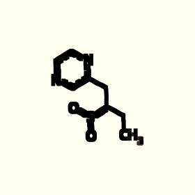 CCC(Cc1cnccn1)=S(=O)=O